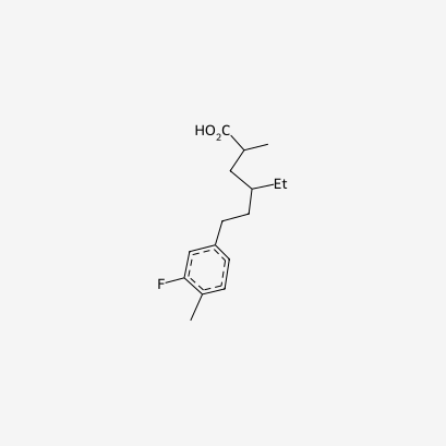 CCC(CCc1ccc(C)c(F)c1)CC(C)C(=O)O